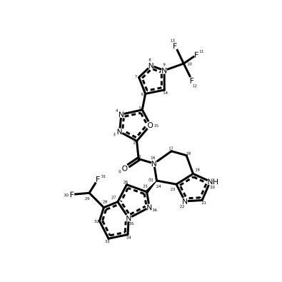 O=C(c1nnc(-c2cnn(C(F)(F)F)c2)o1)N1CCc2[nH]cnc2[C@H]1c1cc2c(C(F)F)cccn2n1